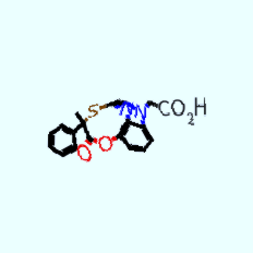 CC1(c2ccccc2)Sc2nc3c(cccc3n2CC(=O)O)OC1=O